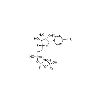 Cc1ccn([C@@H]2O[C@](F)(COP(=O)(O)OP(=O)(O)OP(=O)(O)O)C(O)[C@@]2(C)O)c(=S)n1